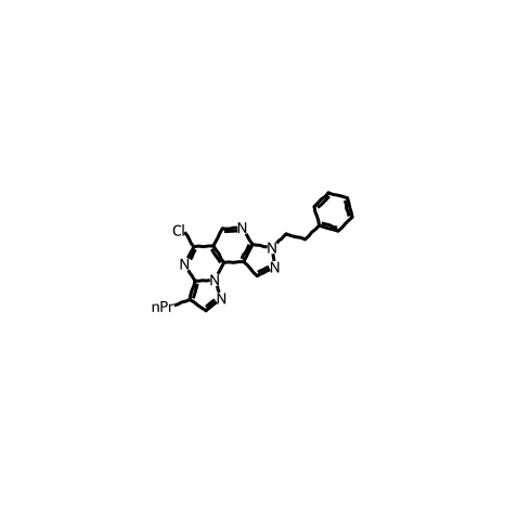 CCCc1cnn2c1nc(Cl)c1cnc3c(cnn3CCc3ccccc3)c12